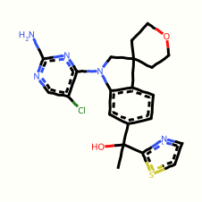 CC(O)(c1ccc2c(c1)N(c1nc(N)ncc1Cl)CC21CCOCC1)c1nccs1